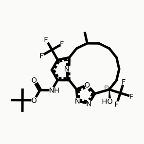 CC1CCCCC[C@](O)(C(F)(F)F)c2nnc(o2)-c2nc(c(C(F)(F)F)cc2NC(=O)OC(C)(C)C)C1